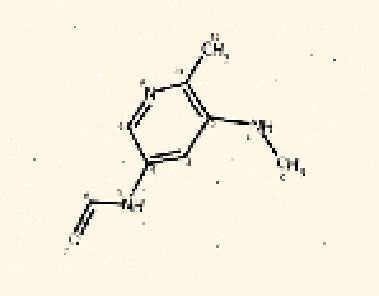 CNc1cc(NC=O)cnc1C